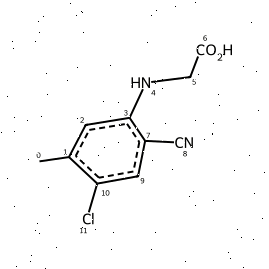 Cc1cc(NCC(=O)O)c(C#N)cc1Cl